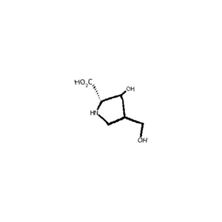 O=C(O)[C@H]1NCC(CO)C1O